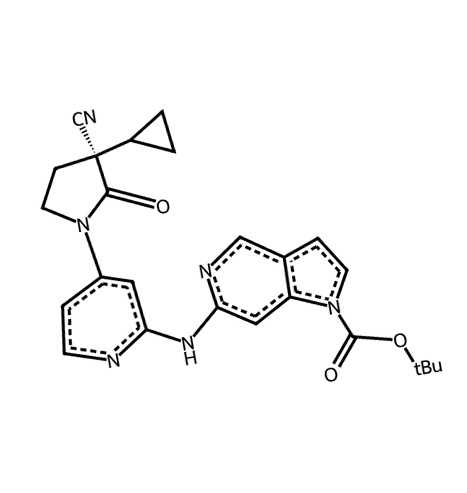 CC(C)(C)OC(=O)n1ccc2cnc(Nc3cc(N4CC[C@@](C#N)(C5CC5)C4=O)ccn3)cc21